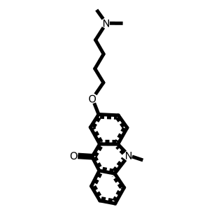 CN(C)CCCCOc1ccc2c(c1)c(=O)c1ccccc1n2C